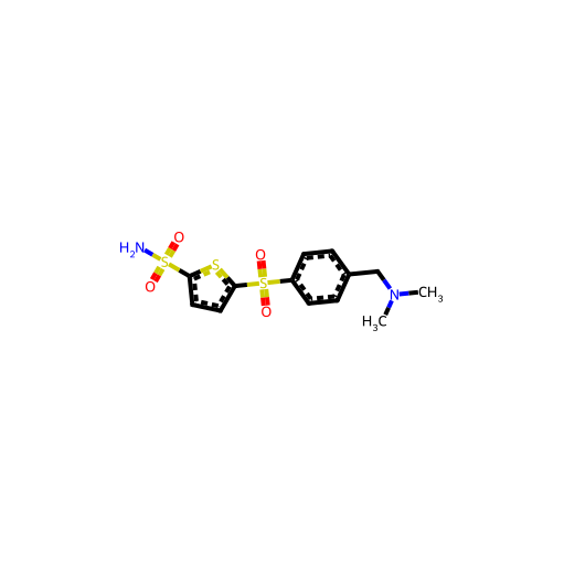 CN(C)Cc1ccc(S(=O)(=O)c2ccc(S(N)(=O)=O)s2)cc1